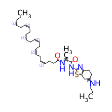 CC/C=C\C/C=C\C/C=C\C/C=C\C/C=C\C/C=C\CCC(=O)N[C@@H](C)C(=O)Nc1nc2c(s1)C[C@H](NCCC)CC2